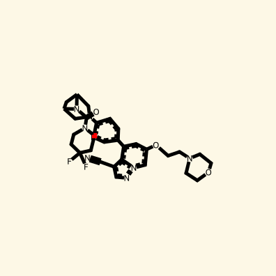 N#Cc1cnn2cc(OCCN3CCOCC3)cc(-c3ccc(N4CC5CC(C4)N5C(=O)N4CCC(F)(F)CC4)nc3)c12